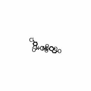 O=c1ccc2cc(S(=O)(=O)N3CCC(N4COCc5cc(Cl)ccc54)CC3)ccc2o1